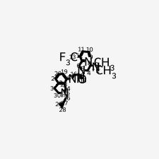 CN(C)CCN(Cc1ncccc1C(F)(F)F)C(=O)CNc1cccc2c1CN(CC1CC1)CC2